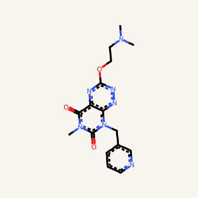 CN(C)CCOc1nnc2c(n1)c(=O)n(C)c(=O)n2Cc1cccnc1